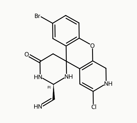 N=C[C@H]1NC(=O)CC2(N1)C1=C(CNC(Cl)=C1)Oc1ccc(Br)cc12